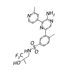 Cc1cc(-c2nc(-c3cc(S(=O)(=O)NC[C@@](C)(O)C(F)(F)F)ccc3C)cnc2N)ccn1